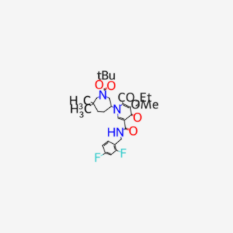 CCOC(=O)c1c(OC)c(=O)c(C(=O)NCc2ccc(F)cc2F)cn1C1CCC(C)(C)CN(C(=O)OC(C)(C)C)C1